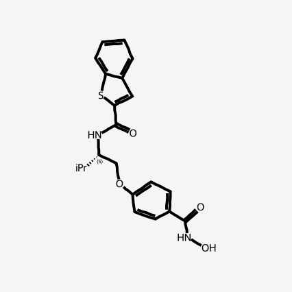 CC(C)[C@@H](COc1ccc(C(=O)NO)cc1)NC(=O)c1cc2ccccc2s1